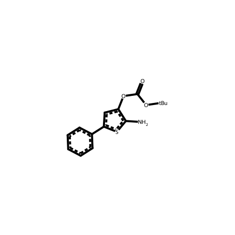 CC(C)(C)OC(=O)Oc1cc(-c2ccccc2)sc1N